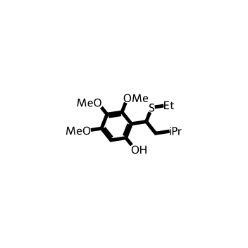 CCSC(CC(C)C)c1c(O)cc(OC)c(OC)c1OC